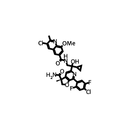 COc1cc(C(=O)NCC(O)(c2cc3c(c(-c4cc(F)c(Cl)cc4F)n2)OC[C@]3(C)C(N)=O)C2CC2)cc2cc(Cl)c(C)nc12